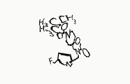 CC(C)(C)OC(=O)N1CCC2(CC1)CN(Cc1ccc(CF)cn1)C(=O)CO2